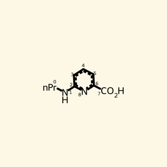 CCCNc1cccc(C(=O)O)n1